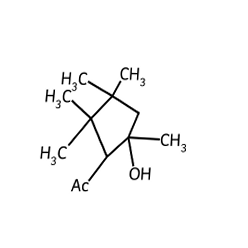 CC(=O)C1C(C)(O)CC(C)(C)C1(C)C